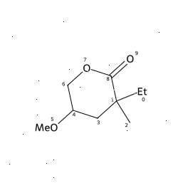 CCC1(C)CC(OC)COC1=O